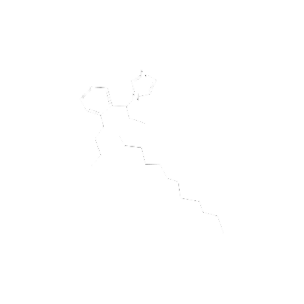 CCCCCCCCCCCC[C@H](CCC)c1ccccc1C(CC)n1ccnc1